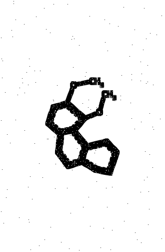 COc1ccc2ccc3ccccc3c2c1OC